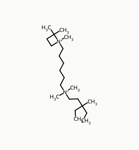 CCC(C)(CC)CC[N+](C)(C)CCCCCC[N+]1(C)CCC1(C)C